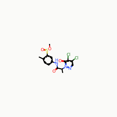 COS(=O)c1cc(NC(=O)C(C)n2ncc(Cl)c(Cl)c2=O)ccc1C